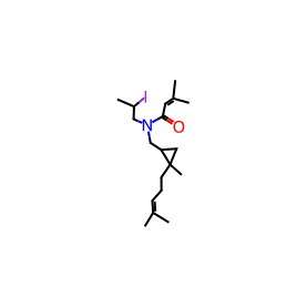 CC(C)=CCCC1(C)CC1CN(CC(C)I)C(=O)C=C(C)C